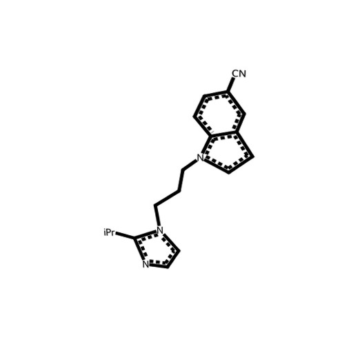 CC(C)c1nccn1CCCn1ccc2cc(C#N)ccc21